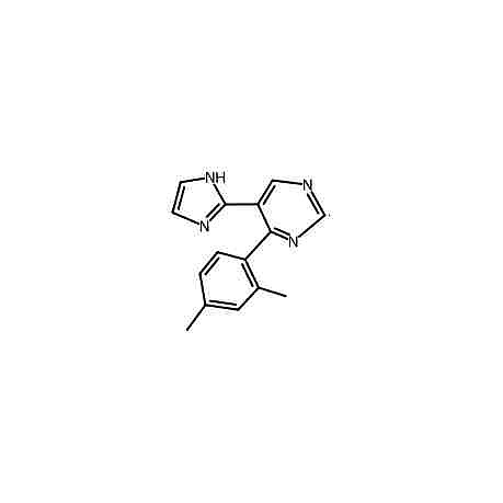 Cc1ccc(-c2n[c]ncc2-c2ncc[nH]2)c(C)c1